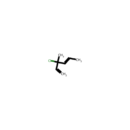 C=CC(C)(Cl)C=CC